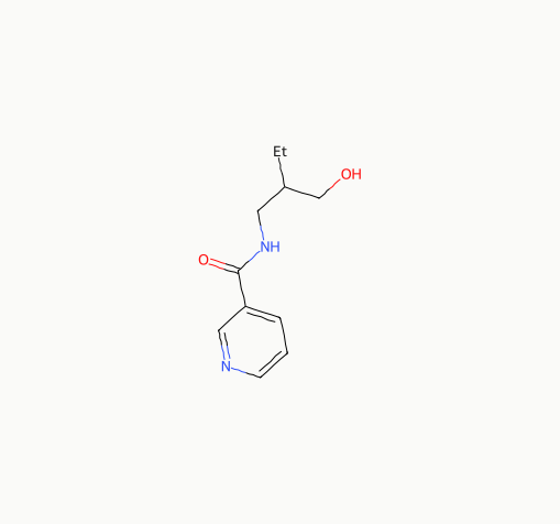 CCC(CO)CNC(=O)c1cccnc1